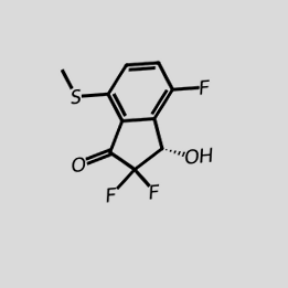 CSc1ccc(F)c2c1C(=O)C(F)(F)[C@H]2O